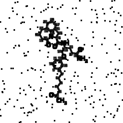 CC(=O)CCCCCc1cccc(OC[C@H](CCC(N)=O)NC(=O)[C@@H]2Cc3cccc4c3N2C(=O)CCC4)c1